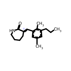 CCCc1cc(C)cc(/C=C2\CCCCNC2=O)c1C